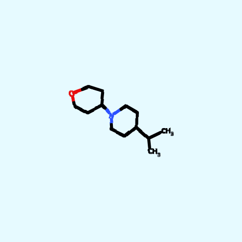 CC(C)C1CCN(C2CCOCC2)CC1